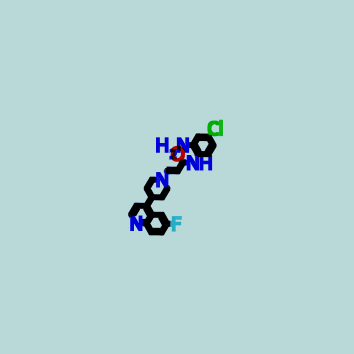 Nc1cc(Cl)ccc1NC(=O)C=CN1CCC(c2ccnc3ccc(F)cc23)CC1